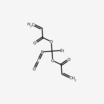 C=CC(=O)OC(CC)(N=C=O)OC(=O)C=C